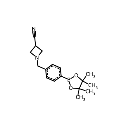 CC1(C)OB(c2ccc(CN3CC(C#N)C3)cc2)OC1(C)C